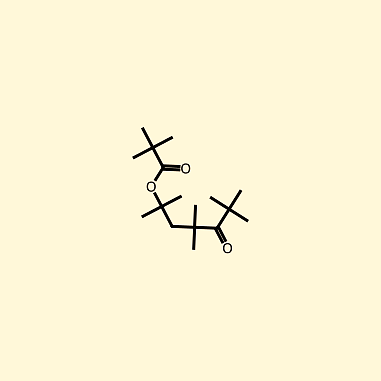 CC(C)(CC(C)(C)C(=O)C(C)(C)C)OC(=O)C(C)(C)C